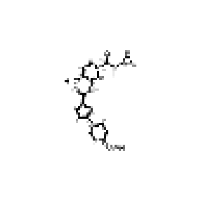 COc1ccc(-c2ccc(C(=O)Nc3cc(C(=O)NC4CC4)ccc3C)s2)cc1